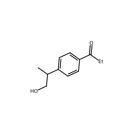 CCC(=O)c1ccc(C(C)CO)cc1